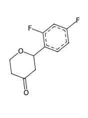 O=C1CCOC(c2ccc(F)cc2F)C1